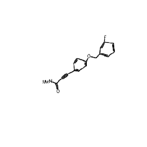 CNC(=O)C#Cc1ccc(OCc2cccc(F)c2)cc1